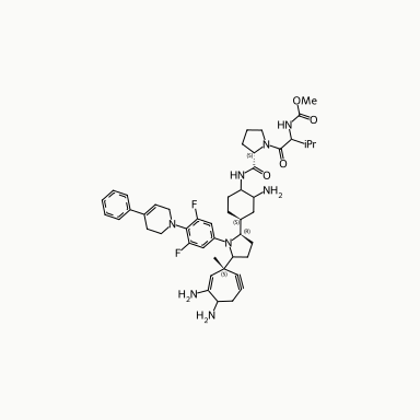 COC(=O)NC(C(=O)N1CCC[C@H]1C(=O)NC1CC[C@H]([C@H]2CCC([C@]3(C)C#CCC(N)C(N)=C3)N2c2cc(F)c(N3CC=C(c4ccccc4)CC3)c(F)c2)CC1N)C(C)C